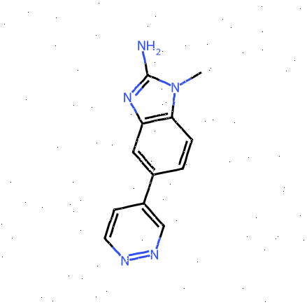 Cn1c(N)nc2cc(-c3ccnnc3)ccc21